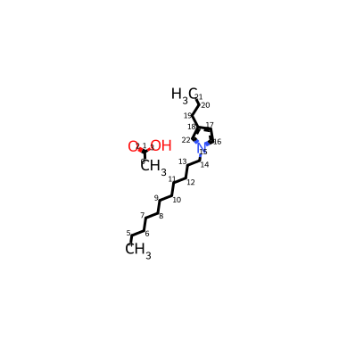 CC(=O)O.CCCCCCCCCCCn1ccc(CCC)c1